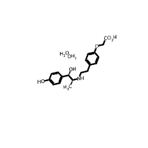 C[C@H](NCCc1ccc(OCC(=O)O)cc1)[C@H](O)c1ccc(O)cc1.O.O